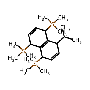 CC(C)C1C=CC(S(C)(C)C)C2=C1C(S(C)(C)C)C=CC2S(C)(C)C